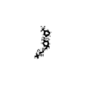 CC1(CNCC(=O)NC(C)(C)C)CCC(F)(S(=O)(=O)c2cccc(C(F)(F)F)c2)CC1